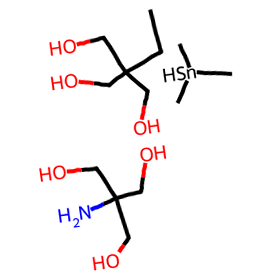 CCC(CO)(CO)CO.NC(CO)(CO)CO.[CH3][SnH]([CH3])[CH3]